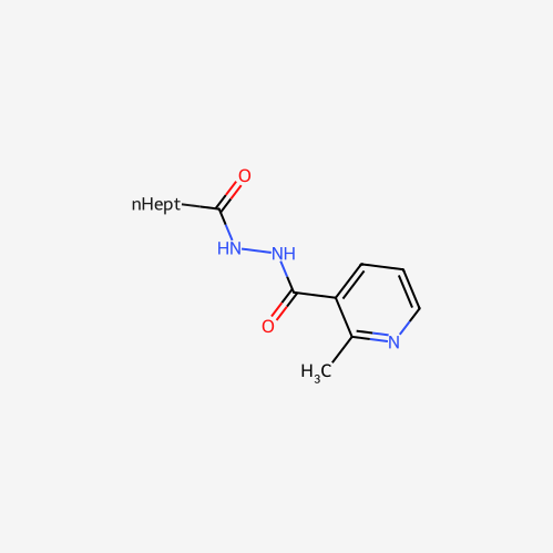 CCCCCCCC(=O)NNC(=O)c1cccnc1C